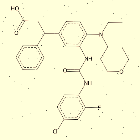 CCN(c1ccc(C(CC(=O)O)c2ccccc2)cc1NC(=O)Nc1ccc(Cl)cc1F)C1CCOCC1